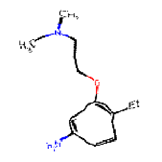 CCc1ccc(N)cc1OCCN(C)C